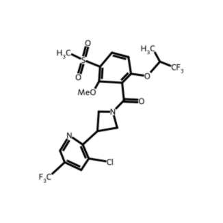 COc1c(S(C)(=O)=O)ccc(OC(C)C(F)(F)F)c1C(=O)N1CC(c2ncc(C(F)(F)F)cc2Cl)C1